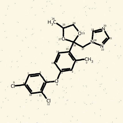 Cc1cc(Oc2ccc(Cl)cc2Cl)ccc1C1(Cn2cncn2)OCC(C)O1